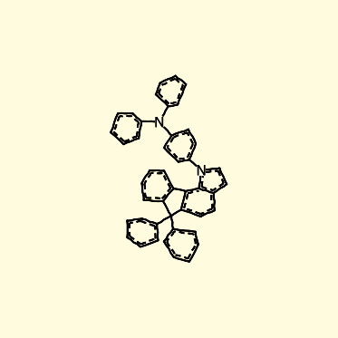 c1ccc(N(c2ccccc2)c2ccc(-n3ccc4ccc5c(c43)-c3ccccc3C5(c3ccccc3)c3ccccc3)cc2)cc1